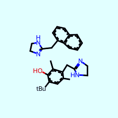 Cc1cc(C(C)(C)C)c(O)c(C)c1CC1=NCCN1.c1ccc2c(CC3=NCCN3)cccc2c1